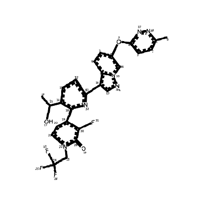 Cc1ccc(Oc2ccc3c(-c4ccc(C(C)O)c(-c5ccn(CC(F)(F)F)c(=O)c5F)n4)cnn3c2)nn1